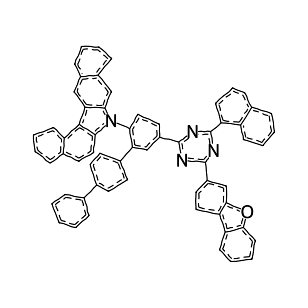 c1ccc(-c2ccc(-c3cc(-c4nc(-c5ccc6c(c5)oc5ccccc56)nc(-c5cccc6ccccc56)n4)ccc3-n3c4cc5ccccc5cc4c4c5ccccc5ccc43)cc2)cc1